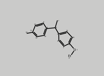 CCOc1ccc(C(C)c2ccc(C)cc2)cc1